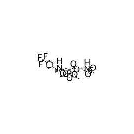 CCOP(=O)(OCC)C(CC(=O)N[C@@H](C)c1ccc(C(F)(F)F)cc1)C(=O)OCCNS(C)(=O)=O